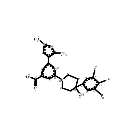 Cc1nn(C)cc1-c1cc(C(N)=O)cc(N2CCC(O)(c3cc(F)c(F)c(F)c3)CC2)n1